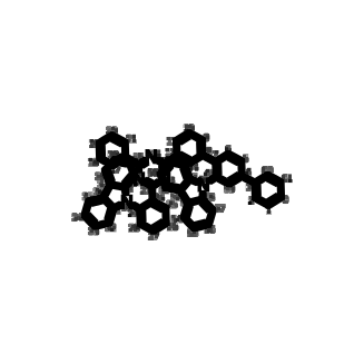 c1ccc(-c2ccc(-c3cccc(-c4nc(-c5ccccc5)nc(-c5ccccc5-n5c6ccccc6c6ccccc65)n4)c3)c(-n3c4ccccc4c4ccccc43)c2)cc1